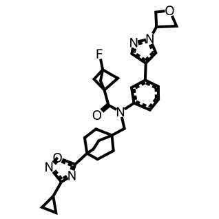 O=C(N(CC12CCC(c3nc(C4CC4)no3)(CC1)CC2)c1cccc(-c2cnn(C3COC3)c2)c1)C12CC(F)(C1)C2